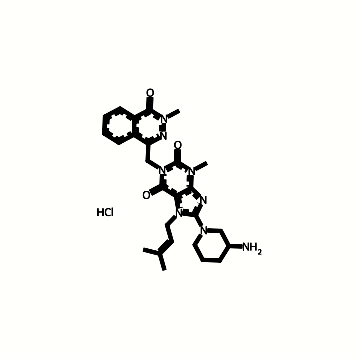 CC(C)=CCn1c(N2CCCC(N)C2)nc2c1c(=O)n(Cc1nn(C)c(=O)c3ccccc13)c(=O)n2C.Cl